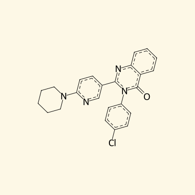 O=c1c2ccccc2nc(-c2ccc(N3CCCCC3)nc2)n1-c1ccc(Cl)cc1